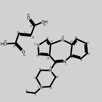 CCN1CCN(C2=Nc3ccccc3Oc3cscc32)CC1.O=C(O)/C=C/C(=O)O